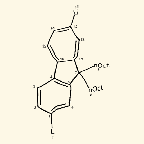 [Li][c]1ccc2c(c1)C(CCCCCCCC)(CCCCCCCC)c1c[c]([Li])ccc1-2